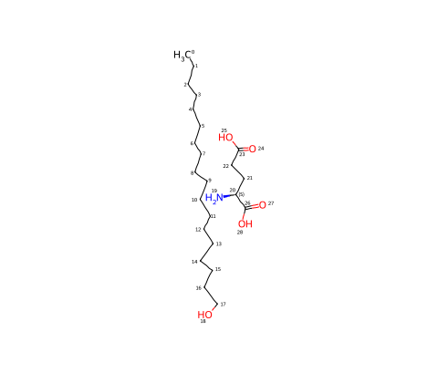 CCCCCCCCCCCCCCCCCCO.N[C@@H](CCC(=O)O)C(=O)O